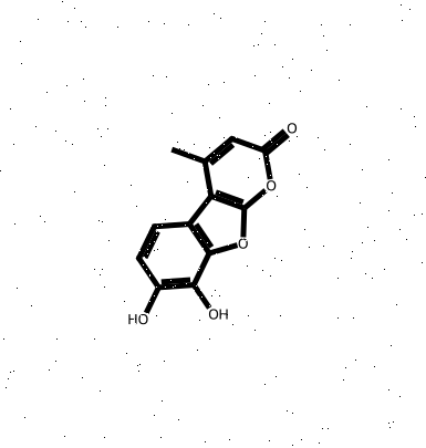 Cc1cc(=O)oc2oc3c(O)c(O)ccc3c12